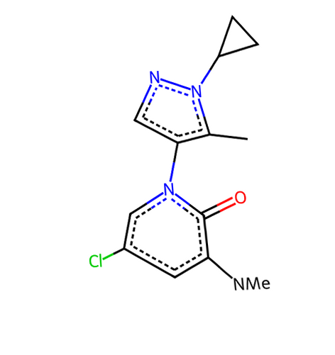 CNc1cc(Cl)cn(-c2cnn(C3CC3)c2C)c1=O